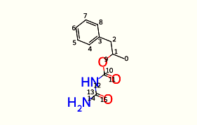 CC(Cc1ccccc1)OC(=O)NC(N)=O